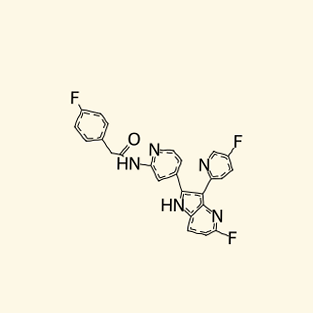 O=C(Cc1ccc(F)cc1)Nc1cc(-c2[nH]c3ccc(F)nc3c2-c2ccc(F)cn2)ccn1